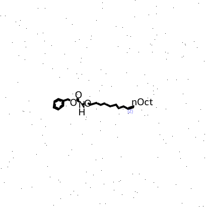 CCCCCCCC/C=C\CCCCCCCCONC(=O)OCc1ccccc1